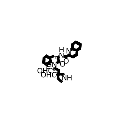 O=C[C@H](C[C@@]1(C=O)CCNC1)NC(=O)[C@H](Cc1cccc(F)c1)NC(=O)c1ccc2ccccc2n1